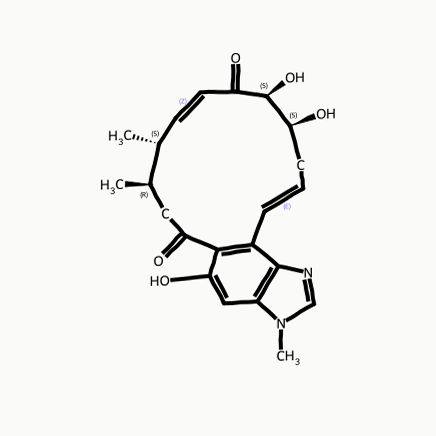 C[C@@H]1/C=C\C(=O)[C@@H](O)[C@@H](O)C/C=C/c2c(c(O)cc3c2ncn3C)C(=O)C[C@H]1C